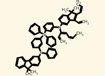 C=CC1=C(/C=C\C)C(C)(C)c2ccc(N(/C(C=C)=C/C=C\C)c3cccc([Si](c4ccccc4)(c4ccccc4)c4cccc(N(c5ccccc5)c5ccc6c(c5)-c5ccccc5C6(C)C)c4)c3)cc21